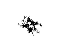 CCn1nc(C)cc1C(=O)Nc1nc2cc(C(N)=O)cc(OCCCN)c2n1CCC[C@H]1COc2cc(C(N)=O)cc3nc(NC(=O)c4c(Cl)c(C)nn4CC)n1c23